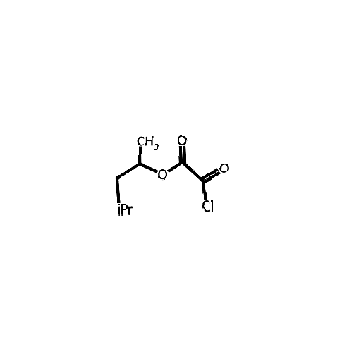 CC(C)CC(C)OC(=O)C(=O)Cl